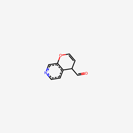 O=CC1C=COc2cnccc21